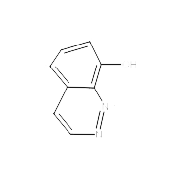 Oc1cccc2ccnnc12